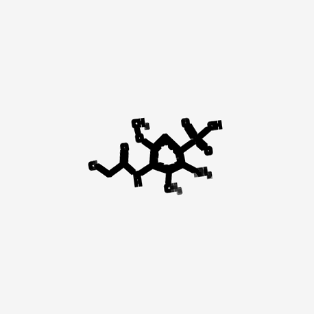 COc1cc(S(=O)(=O)O)c(N)c(C)c1NC(=O)CCl